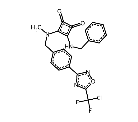 CN(Cc1ccc(-c2noc(C(F)(F)Cl)n2)cc1)c1c(NCc2ccccc2)c(=O)c1=O